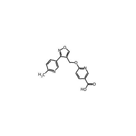 Cc1ccc(-c2nocc2COc2ccc(C(=O)O)cn2)cn1